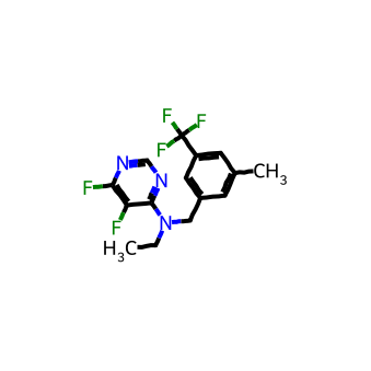 CCN(Cc1cc(C)cc(C(F)(F)F)c1)c1ncnc(F)c1F